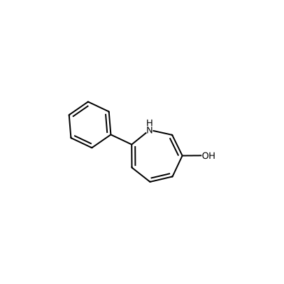 OC1=CNC(c2ccccc2)=CC=C1